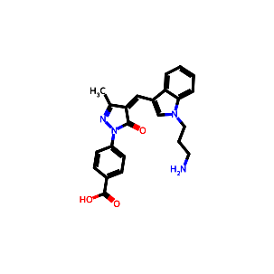 CC1=NN(c2ccc(C(=O)O)cc2)C(=O)C1=Cc1cn(CCCN)c2ccccc12